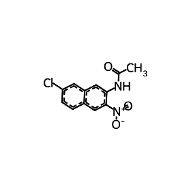 CC(=O)Nc1cc2cc(Cl)ccc2cc1[N+](=O)[O-]